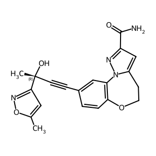 Cc1cc([C@](C)(O)C#Cc2ccc3c(c2)-n2nc(C(N)=O)cc2CCO3)no1